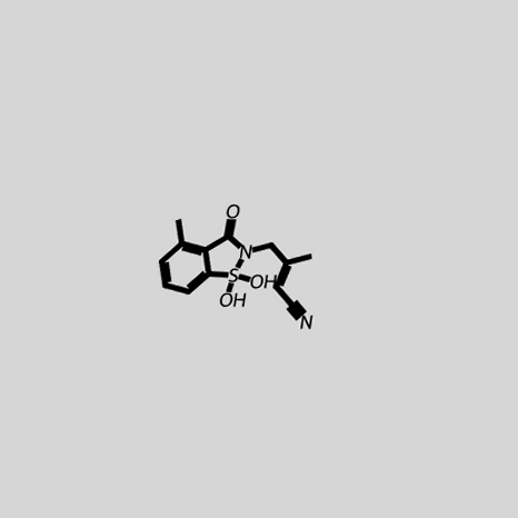 CC(=CC#N)CN1C(=O)c2c(C)cccc2S1(O)O